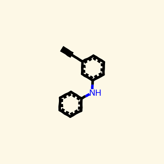 C#Cc1cccc(Nc2ccccc2)c1